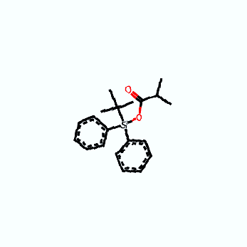 CC(C)C(=O)O[Si](c1ccccc1)(c1ccccc1)C(C)(C)C